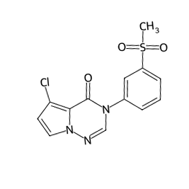 CS(=O)(=O)c1cccc(-n2cnn3ccc(Cl)c3c2=O)c1